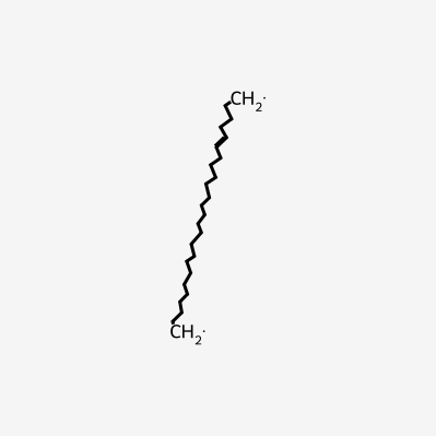 [CH2]CCC/C=C/CCCCCCCCCCCCCCCCCC[CH2]